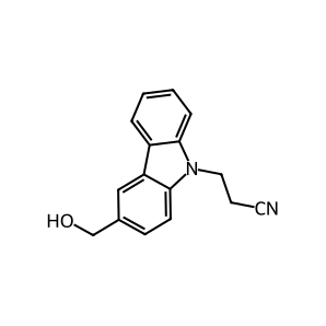 N#CCCn1c2ccccc2c2cc(CO)ccc21